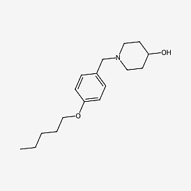 CCCCCOc1ccc(CN2CCC(O)CC2)cc1